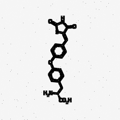 N[C@H](Cc1ccc(Oc2ccc(/C=C3\SC(=O)NC3=O)cc2)cc1)C(=O)O